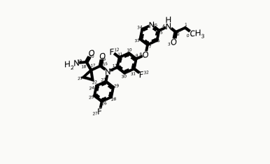 CCC(=O)Nc1cc(Oc2cc(F)c(N(C(=O)C3(C(N)=O)CC3)c3ccc(F)cc3)cc2F)ccn1